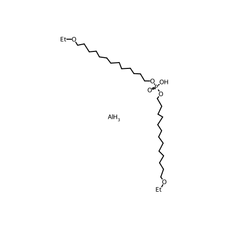 CCOCCCCCCCCCCCCCOP(=O)(O)OCCCCCCCCCCCCCOCC.[AlH3]